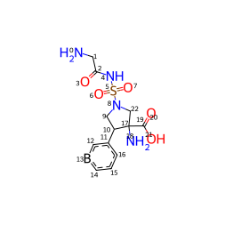 NCC(=O)NS(=O)(=O)N1CC(c2cbccc2)C(N)(C(=O)O)C1